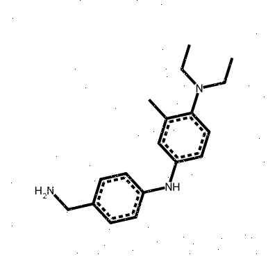 CCN(CC)c1ccc(Nc2ccc(CN)cc2)cc1C